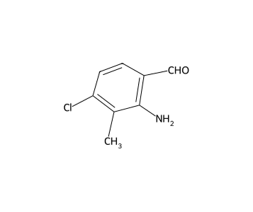 Cc1c(Cl)ccc(C=O)c1N